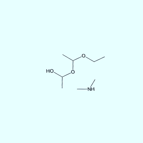 CCOC(C)OC(C)O.CNC